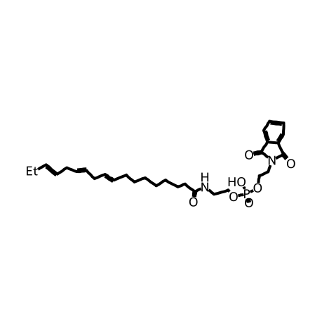 CCC=CCC=CCC=CCCCCCCCC(=O)NCCOP(=O)(O)OCCN1C(=O)c2ccccc2C1=O